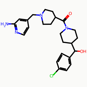 Nc1cc(CN2CCC(C(=O)N3CCC(C(O)c4ccc(Cl)cc4)CC3)CC2)ccn1